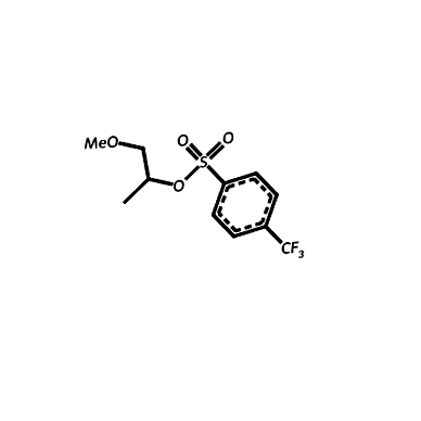 COCC(C)OS(=O)(=O)c1ccc(C(F)(F)F)cc1